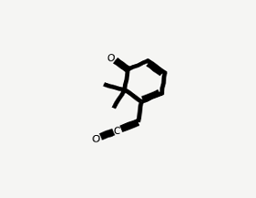 CC1(C)C(=O)C=CC=C1C=C=O